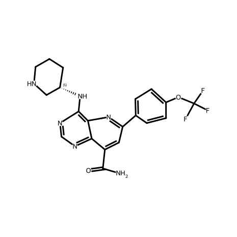 NC(=O)c1cc(-c2ccc(OC(F)(F)F)cc2)nc2c(N[C@H]3CCCNC3)ncnc12